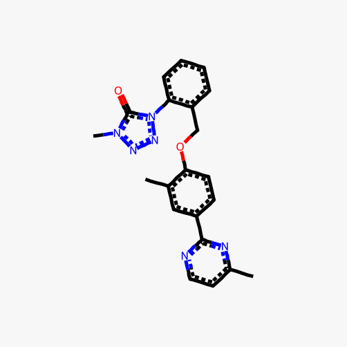 Cc1ccnc(-c2ccc(OCc3ccccc3-n3nnn(C)c3=O)c(C)c2)n1